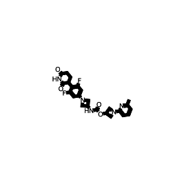 Cc1cccc(N2CC(OC(=O)NC3CN(c4cc(F)c(C5CCC(=O)NC5=O)c(F)c4)C3)C2)n1